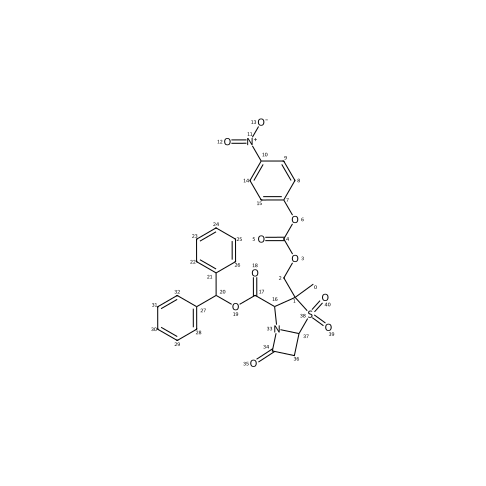 CC1(COC(=O)Oc2ccc([N+](=O)[O-])cc2)C(C(=O)OC(c2ccccc2)c2ccccc2)N2C(=O)CC2S1(=O)=O